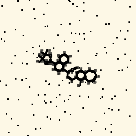 C=C=C(/C=C\c1ccc2c(c1C)C=C=CC=C2)c1ccc(B2OC(C)(C)C(C)(C)O2)c2ccccc12